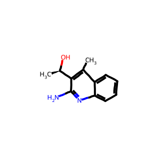 Cc1c([C@@H](C)O)c(N)nc2ccccc12